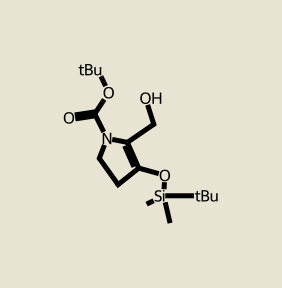 CC(C)(C)OC(=O)N1CCC(O[Si](C)(C)C(C)(C)C)=C1CO